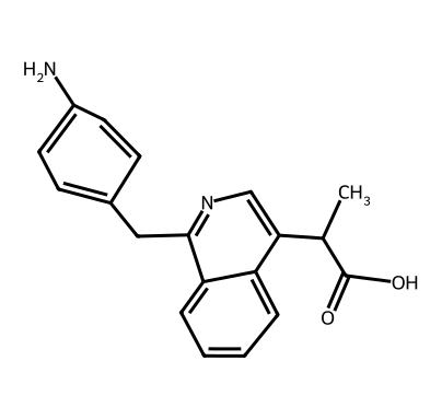 CC(C(=O)O)c1cnc(Cc2ccc(N)cc2)c2ccccc12